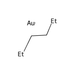 CCCCCC.[Au]